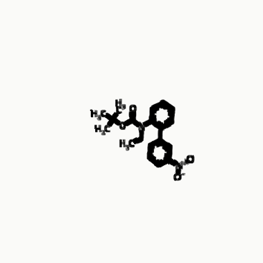 CCN(C(=O)OC(C)(C)C)c1ccccc1-c1cccc([N+](=O)[O-])c1